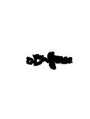 CNS(=O)(=O)CCN1CCC(=O)CC1